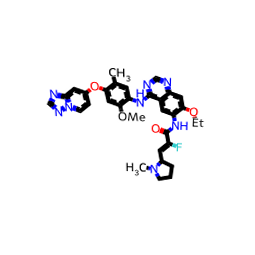 CCOc1cc2ncnc(Nc3cc(C)c(Oc4ccn5ncnc5c4)cc3OC)c2cc1NC(=O)C(F)=CC1CCCN1C